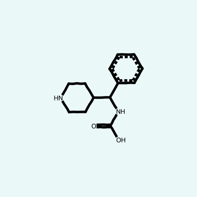 O=C(O)NC(c1ccccc1)C1CCNCC1